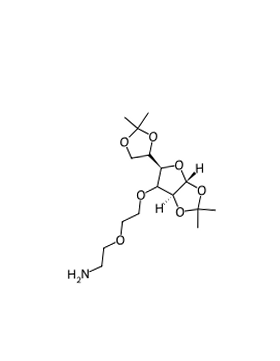 CC1(C)OCC([C@H]2O[C@@H]3OC(C)(C)O[C@H]3C2OCCOCCN)O1